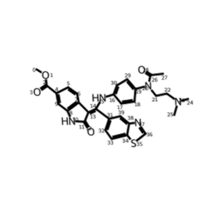 COC(=O)c1ccc2c(c1)NC(=O)C2=C(Nc1ccc(N(CCN(C)C)C(C)=O)cc1)c1ccc2scnc2c1